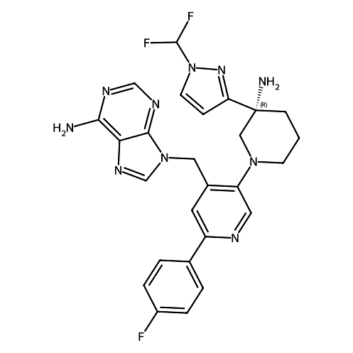 Nc1ncnc2c1ncn2Cc1cc(-c2ccc(F)cc2)ncc1N1CCC[C@](N)(c2ccn(C(F)F)n2)C1